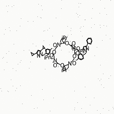 CC(C)C[C@H]1C(=O)O[C@H](Cc2ccc(Cn3nc(C4CC4)cc3C3CC3)cc2)C(=O)N(C)[C@@H](CC(C)C)C(=O)O[C@H](C)C(=O)N(C)[C@@H](CC(C)C)C(=O)O[C@H](Cc2ccc(Cn3nc(-c4ccccc4)cc3CO)cc2)C(=O)N(C)[C@@H](CC(C)C)C(=O)O[C@H](C)C(=O)N1C